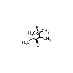 COC(=O)C(C)[Si](C)(C)F